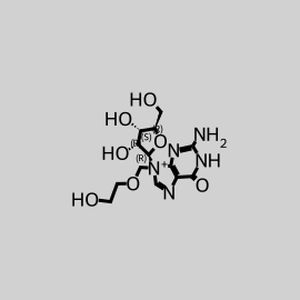 Nc1nc2c(c(=O)[nH]1)N=C[N+]2(COCCO)[C@@H]1O[C@H](CO)[C@@H](O)[C@H]1O